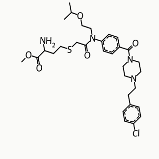 COC(=O)C(N)CCSCC(=O)N(CCOC(C)C)c1ccc(C(=O)N2CCN(CCc3ccc(Cl)cc3)CC2)cc1